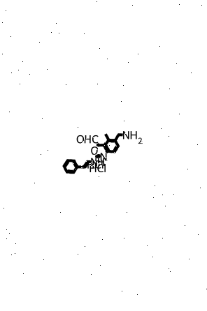 Cc1c(CN)ccc2c1C(C=O)OC(NC=Cc1ccccc1)=N2.Cl.Cl